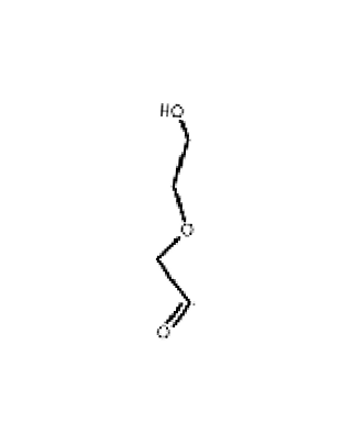 O=[C]COCCO